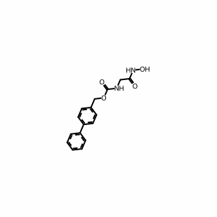 O=C(CNC(=O)OCc1ccc(-c2ccccc2)cc1)NO